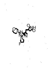 O=C1C/C(=C\c2cnn3c(N4CCC(F)C4)nc(N4CCCOCC4)nc23)C(=O)N1